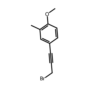 COc1ccc(C#CCBr)cc1C